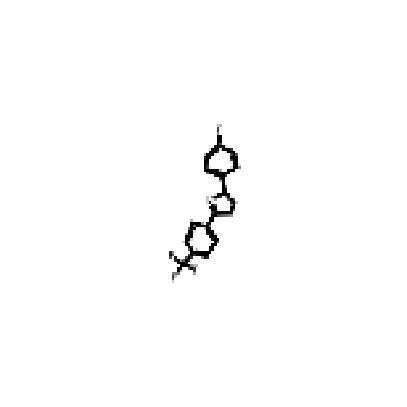 Fc1ccc(C2CCC(c3ccc(C(F)(F)F)cc3)=N2)cc1